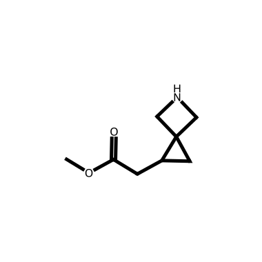 COC(=O)CC1CC12CNC2